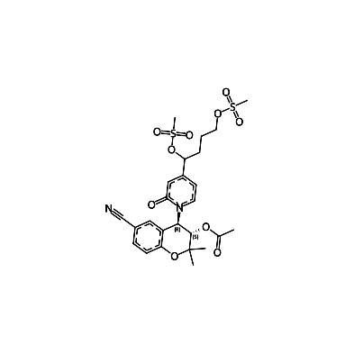 CC(=O)O[C@H]1[C@H](n2ccc(C(CCCOS(C)(=O)=O)OS(C)(=O)=O)cc2=O)c2cc(C#N)ccc2OC1(C)C